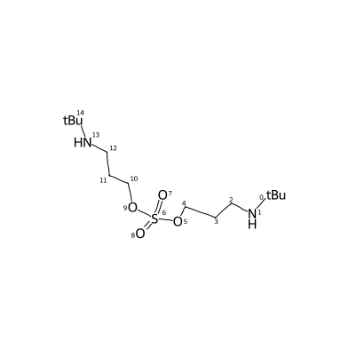 CC(C)(C)NCCCOS(=O)(=O)OCCCNC(C)(C)C